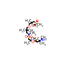 CNC(C)(C)CCOC(C)(C)CS(=O)(=O)N(C)CC(C)(C)COCC(C)(C)CS(C)(=O)=O